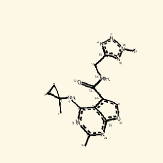 Cc1nc(NC2(C)CC2)c2c(C(=O)NCc3nnn(C)n3)coc2n1